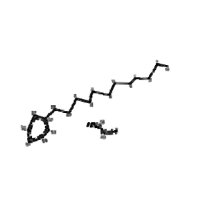 CCCCCCCCCCCCc1ccccc1.[NaH].[NaH]